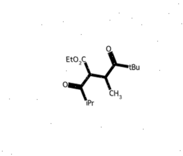 CCOC(=O)C(C(=O)C(C)C)C(C)C(=O)C(C)(C)C